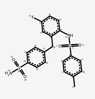 Cc1ccc(S(=O)(=O)Nc2ccc(F)cc2Cc2ccc(S(N)(=O)=O)cc2)cc1